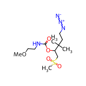 COCCNC(=O)OC(CS(C)(=O)=O)C(C)(C)CCN=[N+]=[N-]